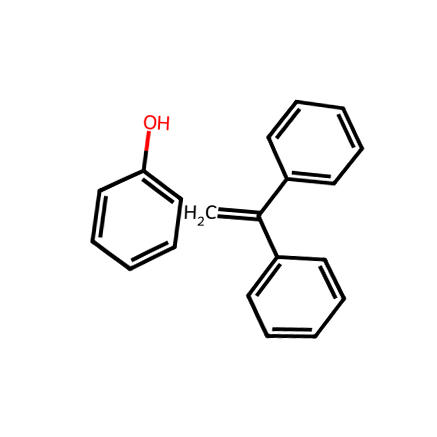 C=C(c1ccccc1)c1ccccc1.Oc1ccccc1